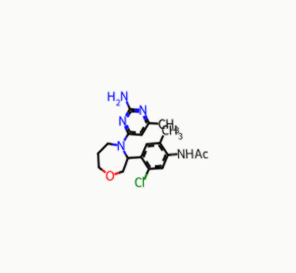 CC(=O)Nc1cc(Cl)c(C2COCCCN2c2cc(C)nc(N)n2)cc1C